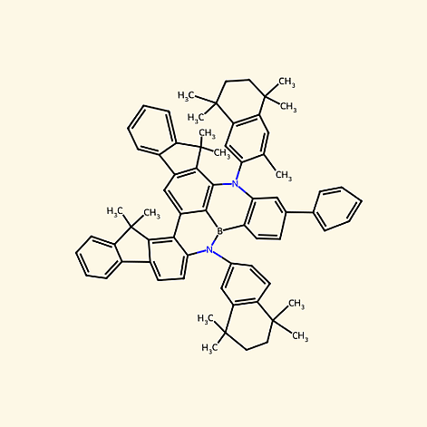 Cc1cc2c(cc1N1c3cc(-c4ccccc4)ccc3B3c4c(cc5c(c41)C(C)(C)c1ccccc1-5)-c1c(ccc4c1C(C)(C)c1ccccc1-4)N3c1ccc3c(c1)C(C)(C)CCC3(C)C)C(C)(C)CCC2(C)C